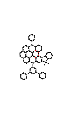 CC1(C)c2ccccc2-c2ccc(N(c3cc(-c4ccccc4)cc(-c4ccccc4)c3)c3ccc4ccc5ccc(N(c6ccccc6)c6ccccc6)c6c7ccccc7c3c4c56)cc21